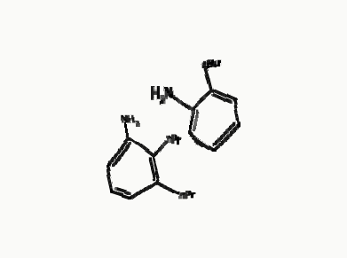 CC(C)(C)c1ccccc1N.CCCc1cccc(N)c1CCC